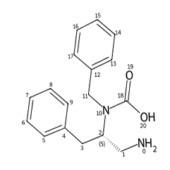 NC[C@H](Cc1ccccc1)N(Cc1ccccc1)C(=O)O